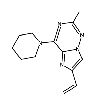 C=Cc1cn2nc(C)nc(N3CCCCC3)c2n1